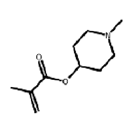 C=C(C)C(=O)OC1CCN(C)CC1